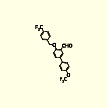 O=Cc1cc(-c2ccc(OC(F)(F)F)cc2)ccc1OCc1ccc(C(F)(F)F)cc1